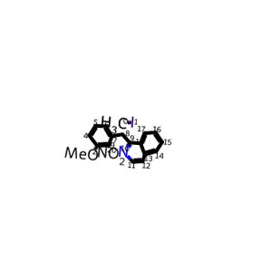 CI.COc1cccc(Cc2nccc3ccccc23)c1[N+](=O)[O-]